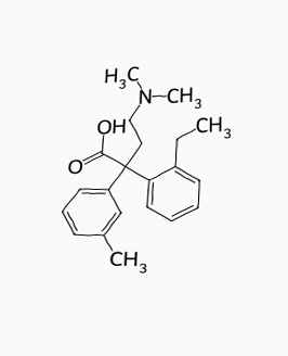 CCc1ccccc1C(CCN(C)C)(C(=O)O)c1cccc(C)c1